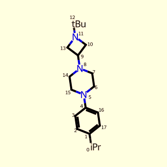 CC(C)c1ccc(N2CCN(C3CN(C(C)(C)C)C3)CC2)cc1